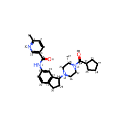 Cc1ccc(C(=O)Nc2ccc3c(c2)C(N2CCN(C(=O)C4CCCC4)[C@@H](C)C2)CC3)cn1